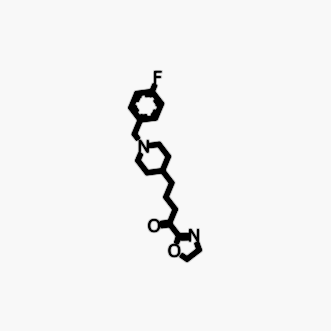 O=C(CCCC1CCN(Cc2ccc(F)cc2)CC1)C1=NCCO1